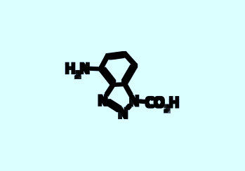 Nc1cccc2c1nnn2C(=O)O